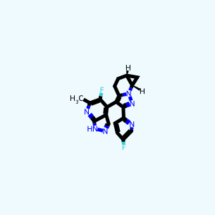 Cc1nc2[nH]ncc2c(-c2c(-c3ccc(F)cn3)nn3c2CC[C@@H]2C[C@@H]23)c1F